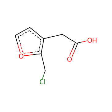 O=C(O)Cc1ccoc1CCl